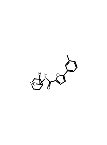 Cc1cccc(-c2ccc(C(=O)N[C@H]3CN4CCC3CC4)o2)c1